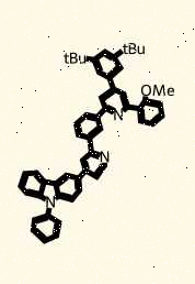 COc1ccccc1-c1cc(-c2cc(C(C)(C)C)cc(C(C)(C)C)c2)cc(-c2cccc(-c3cc(-c4ccc5c(c4)c4ccccc4n5-c4ccccc4)ccn3)c2)n1